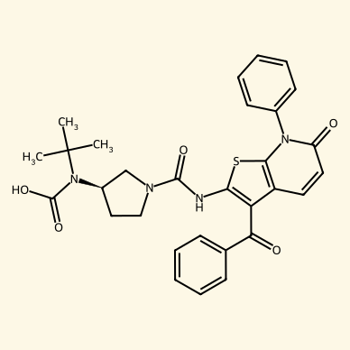 CC(C)(C)N(C(=O)O)[C@@H]1CCN(C(=O)Nc2sc3c(ccc(=O)n3-c3ccccc3)c2C(=O)c2ccccc2)C1